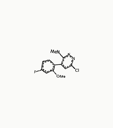 CNc1nnc(Cl)cc1-c1ccc(F)cc1OC